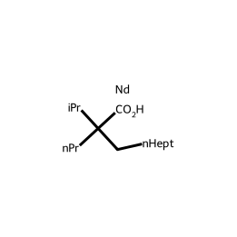 CCCCCCCCC(CCC)(C(=O)O)C(C)C.[Nd]